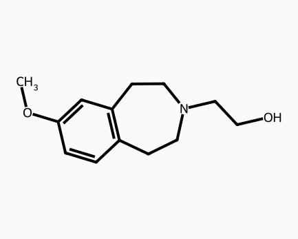 COc1ccc2c(c1)CCN(CCO)CC2